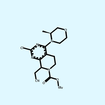 C[C@H]1COCCN1c1nc(Cl)nc2c1CCN(C(=O)OC(C)(C)C)C2CC#N